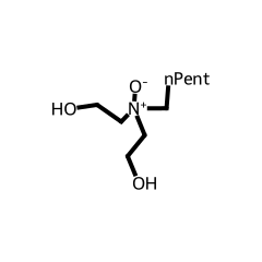 CCCCCC[N+]([O-])(CCO)CCO